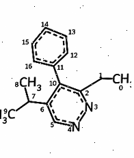 CCc1nncc(C(C)C)c1-c1ccccc1